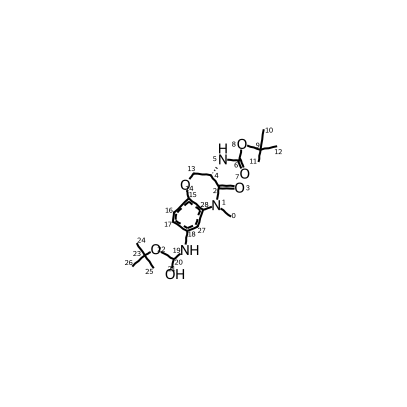 CN1C(=O)[C@@H](NC(=O)OC(C)(C)C)COc2ccc(NC(O)OC(C)(C)C)cc21